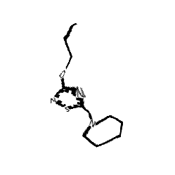 CCCOc1nsc(N2CCCCC2)n1